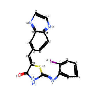 O=C1N/C(=N/c2ccccc2I)S/C1=C\c1ccc2nccnc2c1